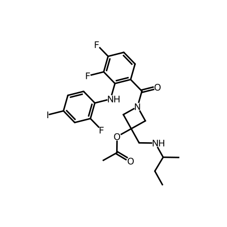 CCC(C)NCC1(OC(C)=O)CN(C(=O)c2ccc(F)c(F)c2Nc2ccc(I)cc2F)C1